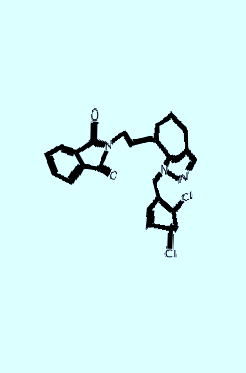 O=C1c2ccccc2C(=O)N1C/C=C1\CCCc2cnn(Cc3ccc(Cl)cc3Cl)c21